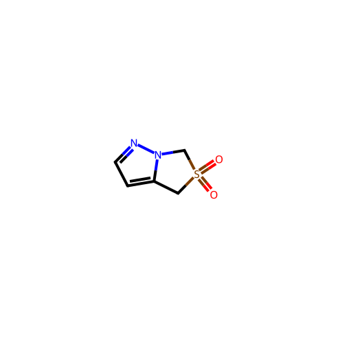 O=S1(=O)Cc2ccnn2C1